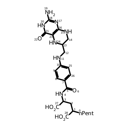 CCCCCC(CC(NC(=O)c1ccc(NCC2CNc3nc(N)[nH]c(=O)c3N2)cc1)C(=O)O)C(=O)O